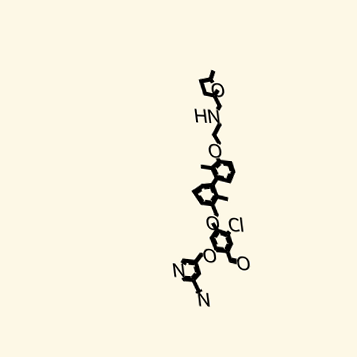 Cc1c(COc2cc(OCc3cncc(C#N)c3)c(C=O)cc2Cl)cccc1-c1cccc(OCCCNCC2CCC(C)O2)c1C